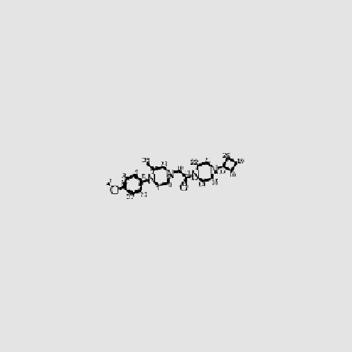 COc1ccc(N2CCN(CC(=O)N3CCN(C4CCC4)CC3)CC2C)cc1